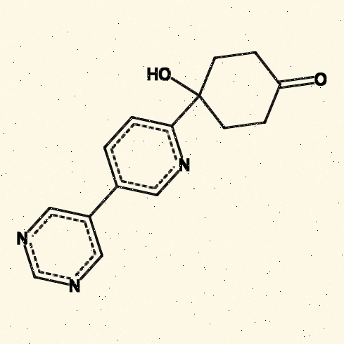 O=C1CCC(O)(c2ccc(-c3cncnc3)cn2)CC1